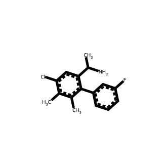 Cc1c(Cl)cc(C(C)N)c(-c2cccc(F)c2)c1C